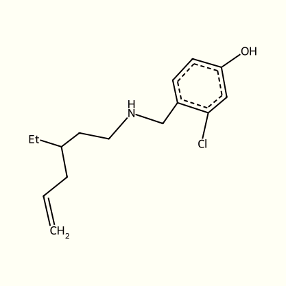 C=CCC(CC)CCNCc1ccc(O)cc1Cl